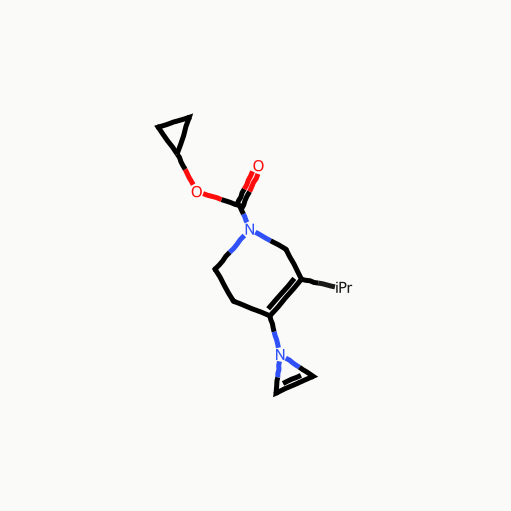 CC(C)C1=C(N2C=C2)CCN(C(=O)OC2CC2)C1